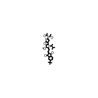 COC1/C(=C\C=C2/C(=O)c3ccc(C(C)(C)C)cc3C2=O)N(C(C)C(C)C)c2c1oc1sc(N(C(C)=O)C(C)=O)cc21